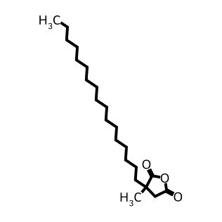 CCCCCCCCCCCCCCCCCC1(C)CC(=O)OC1=O